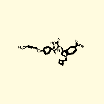 CC#CCOc1ccc(S(=O)(=O)N[C@@H](Cc2cn(CC3CCC3)c3ccc(C(=O)O)cc23)C(=O)O)cc1